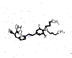 CCCCN(CCCC)c1c(F)cc(/C=C/c2ccc(C=C(C#N)C(=O)O)s2)cc1F